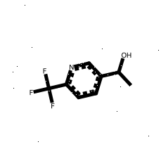 CC(O)c1ccc(C(F)(F)F)nc1